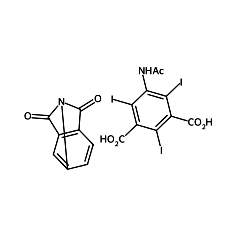 CC(=O)Nc1c(I)c(C(=O)O)c(I)c(C(=O)O)c1I.O=C1c2cc3ccc2c(=O)n31